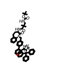 CC(C)(C)OC(=O)NCC(C)(C)C(=O)N[C@@H]1CCc2ccccc2N(Cc2ccc(-c3ccccc3-c3nnnn3C(c3ccccc3)(c3ccccc3)c3ccccc3)cc2)C1=O